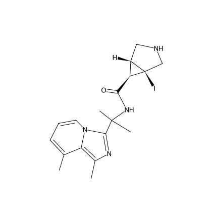 Cc1cccn2c(C(C)(C)NC(=O)[C@H]3[C@@H]4CNC[C@@]43I)nc(C)c12